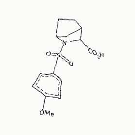 COc1ccc(S(=O)(=O)N2C3CCC(C3)C2C(=O)O)cc1